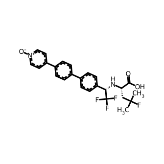 CC(C)(F)C[C@H](N[C@@H](c1ccc(-c2ccc(-c3cc[n+]([O-])cc3)cc2)cc1)C(F)(F)F)C(=O)O